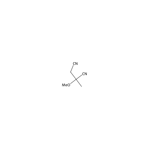 COC(C)(C#N)CC#N